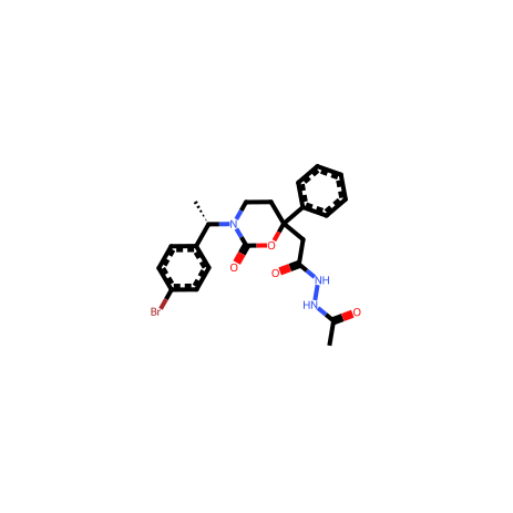 CC(=O)NNC(=O)CC1(c2ccccc2)CCN([C@@H](C)c2ccc(Br)cc2)C(=O)O1